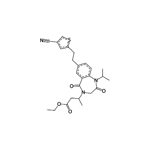 CCOC(=O)CC(C)N1CC(=O)N(C(C)C)c2ccc(CCc3cc(C#N)cs3)cc2C1=O